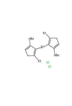 CCCCC1=CCC(CC)=[C]1[Zr+2][C]1=C(CC)CC=C1CCCC.[Cl-].[Cl-]